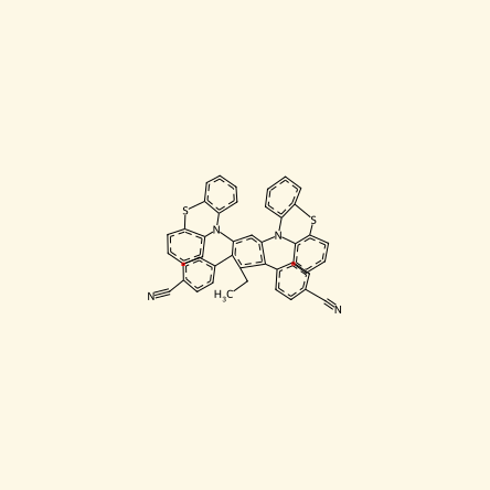 CCc1c(-c2ccc(C#N)cc2)c(N2c3ccccc3Sc3ccccc32)cc(N2c3ccccc3Sc3ccccc32)c1-c1ccc(C#N)cc1